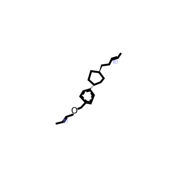 C/C=C/CC[C@H]1CC[C@H](c2ccc(COC/C=C/C)cc2)CC1